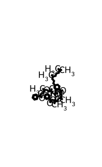 CC(C)CCCC(C)CCCC1CCC(C(=O)NCC(C)OCC(C)OC(=O)c2ccccc2)C(C(=O)NC(C)COC(C)COC(=O)c2ccccc2)C1